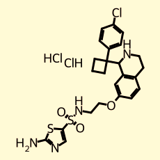 Cl.Cl.Nc1ncc(S(=O)(=O)NCCOc2ccc3c(c2)C(C2(c4ccc(Cl)cc4)CCC2)NCC3)s1